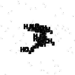 CC(=C/C(C)=C/C(C)(C)CC(=O)NCCCS(=O)(=O)O)/C=C(\C)OC(=O)CN